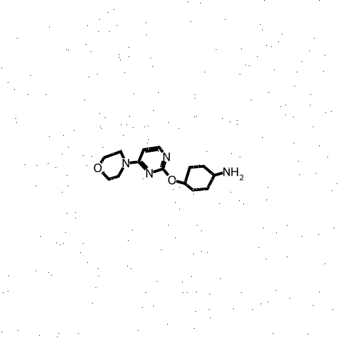 NC1CCC(Oc2nccc(N3CCOCC3)n2)CC1